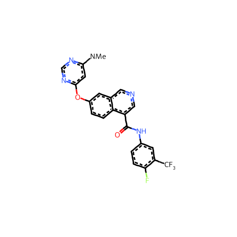 CNc1cc(Oc2ccc3c(C(=O)Nc4ccc(F)c(C(F)(F)F)c4)cncc3c2)ncn1